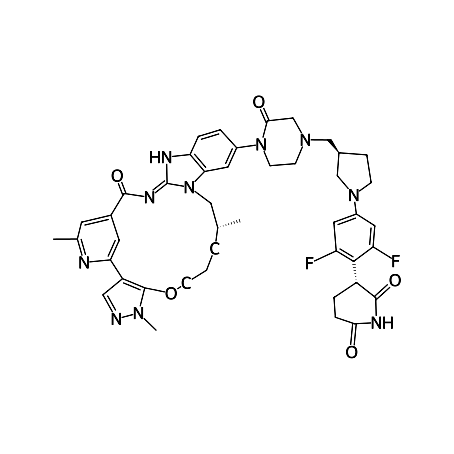 Cc1cc2cc(n1)-c1cnn(C)c1OCCC[C@@H](C)CN1/C(=N/C2=O)Nc2ccc(N3CCN(C[C@H]4CCN(c5cc(F)c([C@H]6CCC(=O)NC6=O)c(F)c5)C4)CC3=O)cc21